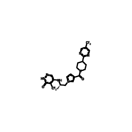 C[C@@H](Cn1ccc(C(=O)N2CCC(c3ncc(C(F)(F)F)cn3)CC2)c1)Nc1cn[nH]c(=O)c1C(F)(F)F